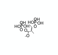 CC=C(C)C(=O)OC.O=P(O)(O)O.O=P(O)(O)O